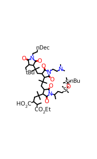 CCCCCCCCCCCCN1C(=O)C(CC(C)(C)C)C(C(C)(C)CC2C(=O)N(CCN(C)C)C(=O)C2C(C)(C)CC2C(=O)N(C(C)CC[Si](C)(C)O[Si](C)(C)CCCC)C(=O)C2C(C)(C)CC(C(=O)O)C(C)C(=O)OCC)C1=O